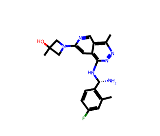 Cc1cc(F)ccc1[C@@H](N)Nc1nnc(C)c2cnc(N3CC(C)(O)C3)cc12